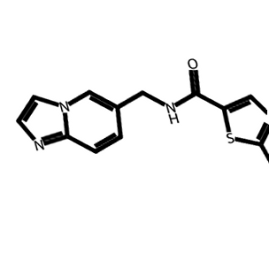 O=C(NCc1ccc2nccn2c1)c1cnc(Br)s1